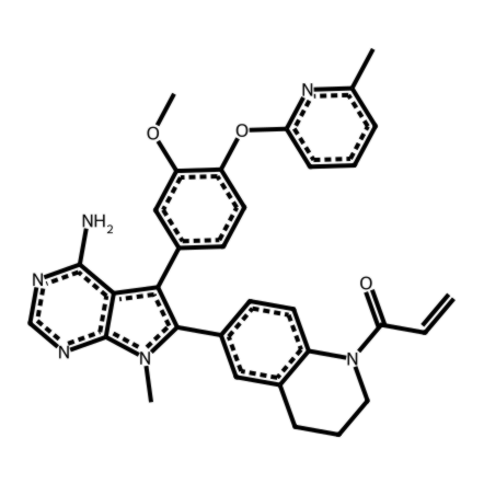 C=CC(=O)N1CCCc2cc(-c3c(-c4ccc(Oc5cccc(C)n5)c(OC)c4)c4c(N)ncnc4n3C)ccc21